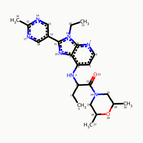 CCC(Nc1ccnc2c1nc(-c1cnc(C)nc1)n2CC)C(=O)N1CC(C)OC(C)C1